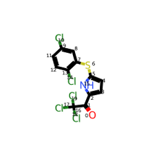 O=C(c1ccc(Sc2cc(Cl)ccc2Cl)[nH]1)C(Cl)(Cl)Cl